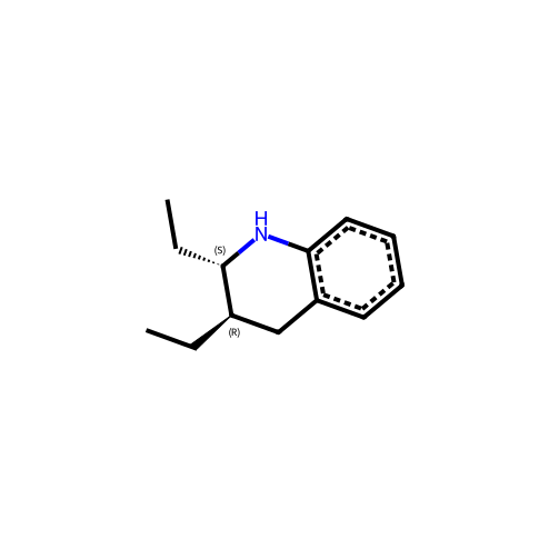 CC[C@@H]1Cc2ccccc2N[C@H]1CC